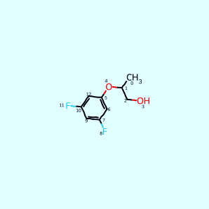 CC(CO)Oc1cc(F)cc(F)c1